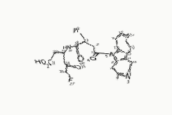 CC(C)C(CC(=O)n1c2ccncc2c2cnccc21)C(=O)NC(CC(=O)O)C(=O)CF